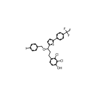 Oc1ccc(CCC(OCc2ccc(I)cc2)c2ccc(-c3ccc(C(F)(F)F)cc3)s2)c(Cl)c1Cl